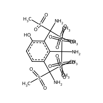 CS(=O)(=O)C(N)(c1ccc(O)c(C(N)(S(C)(=O)=O)S(C)(=O)=O)c1C(N)(S(C)(=O)=O)S(C)(=O)=O)S(C)(=O)=O